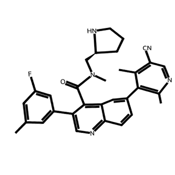 Cc1cc(F)cc(-c2cnc3ccc(-c4c(C)ncc(C#N)c4C)cc3c2C(=O)N(C)C[C@@H]2CCCN2)c1